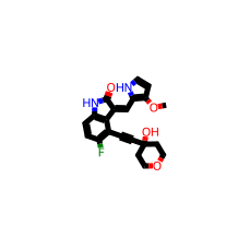 COc1cc[nH]c1/C=C1\C(=O)Nc2ccc(F)c(C#CC3(O)CCOCC3)c21